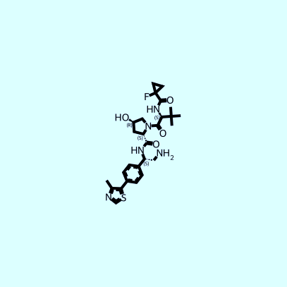 Cc1ncsc1-c1ccc([C@@H](CN)NC(=O)[C@@H]2C[C@@H](O)CN2C(=O)[C@@H](NC(=O)C2(F)CC2)C(C)(C)C)cc1